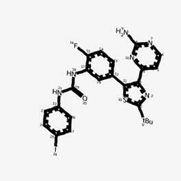 CC(C)(C)c1nc(-c2ccnc(N)n2)c(-c2ccc(F)c(NC(=O)Nc3ccc(I)cc3)c2)s1